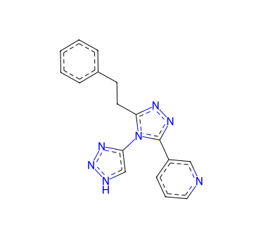 c1ccc(CCc2nnc(-c3cccnc3)n2-c2c[nH]nn2)cc1